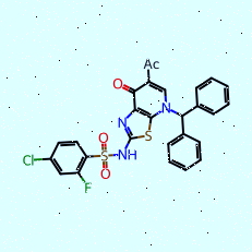 CC(=O)c1cn(C(c2ccccc2)c2ccccc2)c2sc(NS(=O)(=O)c3ccc(Cl)cc3F)nc2c1=O